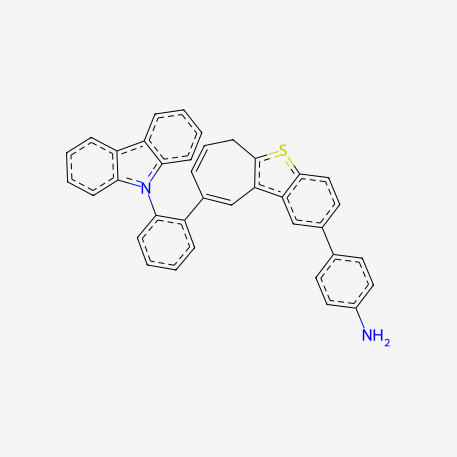 Nc1ccc(-c2ccc3sc4c(c3c2)C=C(c2ccccc2-n2c3ccccc3c3ccccc32)C=CC4)cc1